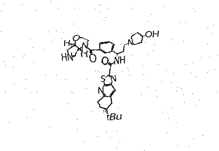 CC(C)(C)[C@H]1CCc2nc3sc(C(=O)NC(CCN4CCC(O)CC4)c4cccc(C(=O)N5CCO[C@H]6CNC[C@H]65)c4)nc3cc2C1